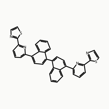 c1cc(-c2nccs2)nc(-c2ccc(-c3ccc(-c4cccc(-c5nccs5)n4)c4ccccc34)c3ccccc23)c1